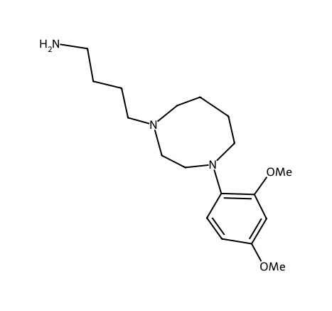 COc1ccc(N2CCCCN(CCCCN)CC2)c(OC)c1